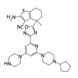 CC1(c2nc(-c3cc(N4CCNCC4)cc(N4CCN(C5CCCC5)CC4)n3)no2)CCCc2sc(N)c(C#N)c21